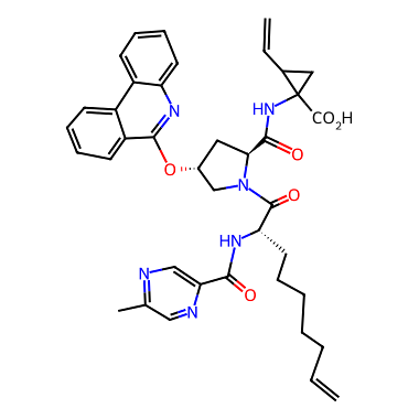 C=CCCCCC[C@H](NC(=O)c1cnc(C)cn1)C(=O)N1C[C@H](Oc2nc3ccccc3c3ccccc23)C[C@H]1C(=O)NC1(C(=O)O)CC1C=C